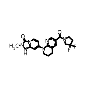 CN1NC2C=C(N3CCCc4cc(C(=O)N5CCC(F)(F)C5)cnc43)C=CN2C1=O